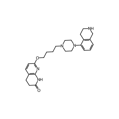 O=C1CCc2ccc(OCCCCN3CCN(c4cccc5c4CCNC5)CC3)nc2N1